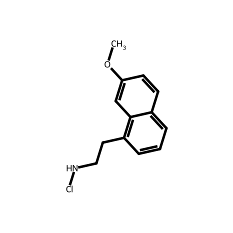 COc1ccc2cccc(CCNCl)c2c1